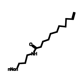 C=CCCCCCCCCC(=O)NCCCCCCCCCCCC